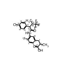 CC(Cc1ccc(F)c(NC(=O)C(c2ccc(Cl)cc2)[C@@H](C)C(F)(F)F)c1)C(=O)O